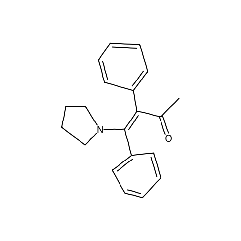 CC(=O)C(=C(c1ccccc1)N1CCCC1)c1ccccc1